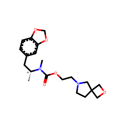 C[C@H](Cc1ccc2c(c1)OCO2)N(C)C(=O)OCCN1CCC2(COC2)C1